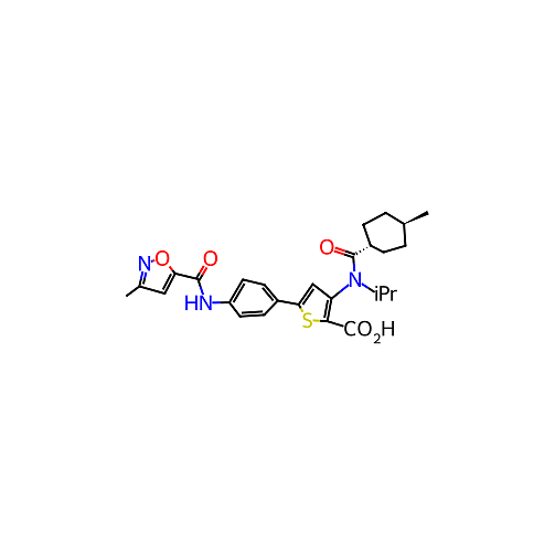 Cc1cc(C(=O)Nc2ccc(-c3cc(N(C(=O)[C@H]4CC[C@H](C)CC4)C(C)C)c(C(=O)O)s3)cc2)on1